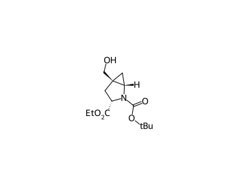 CCOC(=O)[C@@H]1C[C@]2(CO)C[C@@H]2N1C(=O)OC(C)(C)C